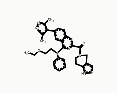 CCOCCN(c1ccccc1)c1nc(C(=O)N2CCc3[nH]ncc3C2)nc2ccc(-c3c(C)noc3C)cc12